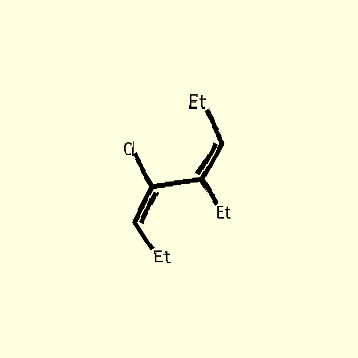 CC/C=C(CC)\C(Cl)=C/CC